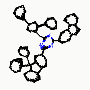 c1ccc(-c2ccc(-c3nc(-c4ccc5c(c4)C(c4ccccc4)(c4ccccc4)c4ccccc4-5)nc(-c4ccc5ccc6ccccc6c5c4)n3)c(-c3ccccc3)c2)cc1